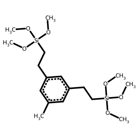 CO[Si](CCc1cc(C)cc(CC[Si](OC)(OC)OC)c1)(OC)OC